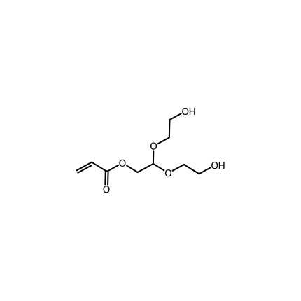 C=CC(=O)OCC(OCCO)OCCO